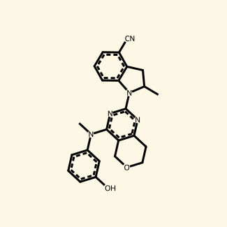 CC1Cc2c(C#N)cccc2N1c1nc2c(c(N(C)c3cccc(O)c3)n1)COCC2